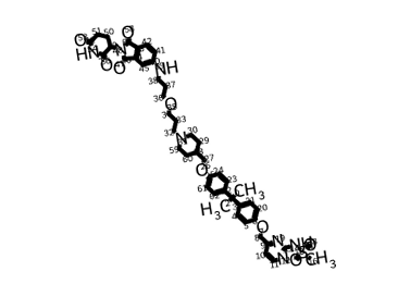 CC(C)(c1ccc(OCc2ccnc(NS(C)(=O)=O)n2)cc1)c1ccc(OCC2CCN(CCCOCCCNc3ccc4c(c3)C(=O)N(C3CCC(=O)NC3=O)C4=O)CC2)cc1